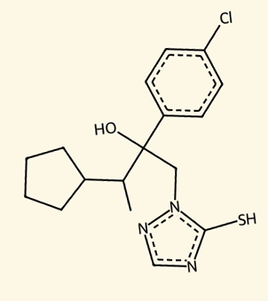 CC(C1CCCC1)C(O)(Cn1ncnc1S)c1ccc(Cl)cc1